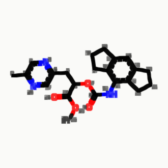 Cc1cnc(CC(OC(=O)Nc2c3c(cc4c2CCC4)CCC3)C(=O)OC(C)C)cn1